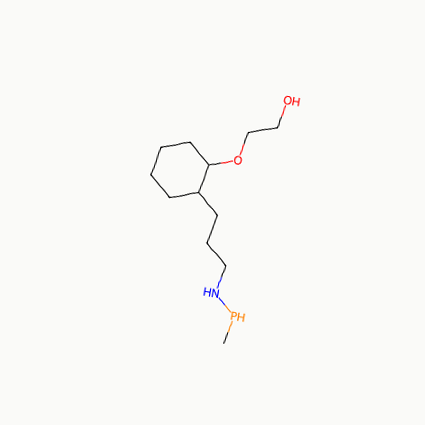 CPNCCCC1CCCCC1OCCO